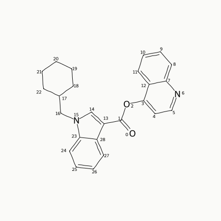 O=C(Oc1ccnc2ccccc12)c1cn(CC2CCCCC2)c2ccccc12